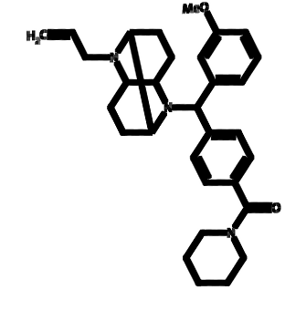 C=CCN1C2CCC3C1CCC2N3C(c1ccc(C(=O)N2CCCCC2)cc1)c1cccc(OC)c1